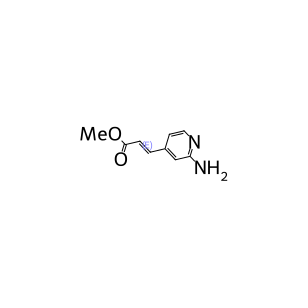 COC(=O)/C=C/c1ccnc(N)c1